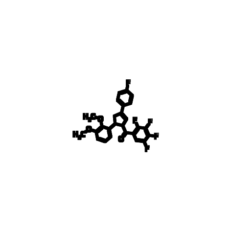 COc1cccc(C2CC(c3ccc(F)cc3)=CC2C(=O)c2cc(F)c(F)c(F)c2F)c1OC